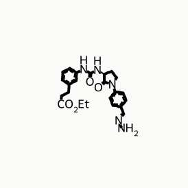 CCOC(=O)CCc1cccc(NC(=O)N[C@H]2CCN(c3ccc(C=NN)cc3)C2=O)c1